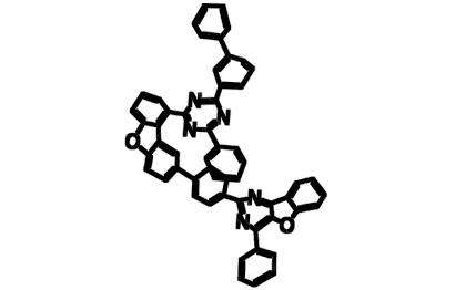 c1ccc(-c2cccc(-c3nc(-c4ccccc4)nc(-c4cccc5oc6ccc(-c7ccc(-c8nc(-c9ccccc9)c9oc%10ccccc%10c9n8)cc7)cc6c45)n3)c2)cc1